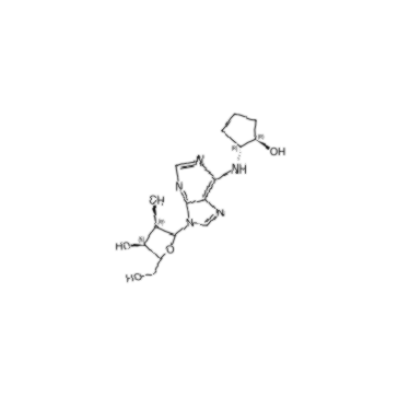 OCC1OC(n2cnc3c(N[C@@H]4CCC[C@H]4O)ncnc32)[C@H](O)[C@@H]1O